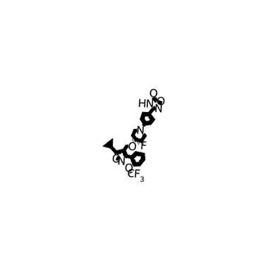 O=c1[nH]c(-c2ccc(N3CC[C@@H](OCc4c(-c5ccccc5OC(F)(F)F)noc4C4CC4)[C@H](F)C3)cc2)no1